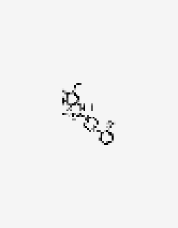 CCc1cc(NC(=S)N2CCN(c3ccccc3SC)CC2)c(OC)nc1C